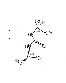 C[C@H](NC(=O)N[C@@H](C)C(=O)O)C(=O)O